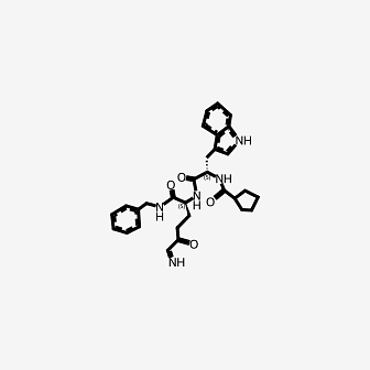 N=CC(=O)CC[C@H](NC(=O)[C@H](Cc1c[nH]c2ccccc12)NC(=O)C1CCCC1)C(=O)NCc1ccccc1